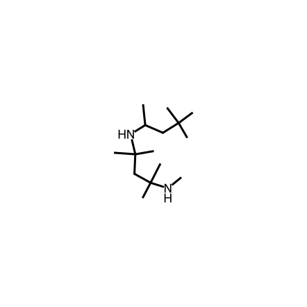 CNC(C)(C)CC(C)(C)NC(C)CC(C)(C)C